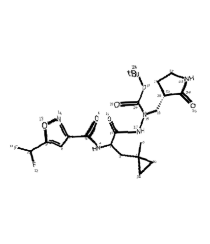 CC1(CC(NC(=O)c2cc(C(F)F)on2)C(=O)NN(C[C@@H]2CCNC2=O)C(=O)OC(C)(C)C)CC1